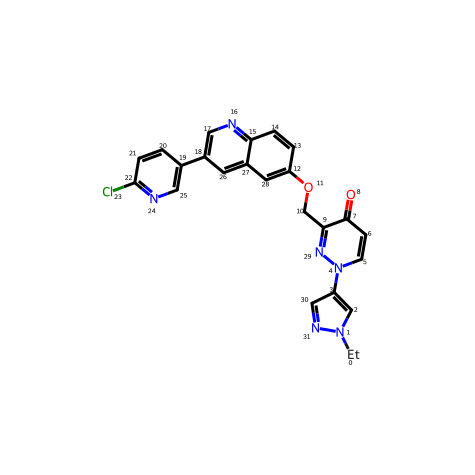 CCn1cc(-n2ccc(=O)c(COc3ccc4ncc(-c5ccc(Cl)nc5)cc4c3)n2)cn1